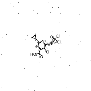 O=C(O)c1nc(C2CC2)nc(Cl)c1Cl.O=P(Cl)(Cl)Cl